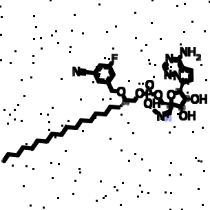 CCCCCCCCCCCCCCCCC[C@@H](COP(=O)(O)OC[C@@]1(/C=N\C)O[C@@H](c2ccc3c(N)ncnn23)[C@H](O)[C@@H]1O)OCc1cc(F)cc(C#N)c1